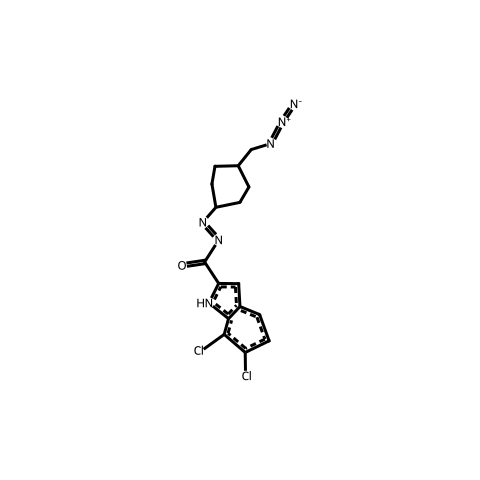 [N-]=[N+]=NCC1CCC(N=NC(=O)c2cc3ccc(Cl)c(Cl)c3[nH]2)CC1